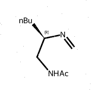 C=N[C@H](CCCC)CNC(C)=O